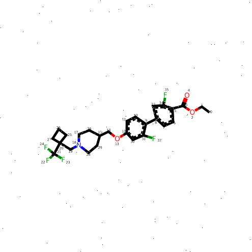 CCOC(=O)c1ccc(-c2ccc(OCC3CCN(CC4(C(F)(F)F)CCC4)CC3)cc2F)cc1F